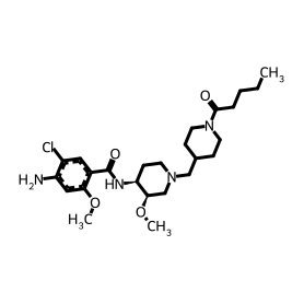 CCCCC(=O)N1CCC(CN2CC[C@H](NC(=O)c3cc(Cl)c(N)cc3OC)[C@H](OC)C2)CC1